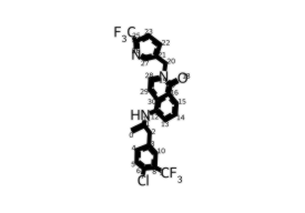 C=C(Cc1ccc(Cl)c(C(F)(F)F)c1)Nc1cccc2c(=O)n(Cc3ccc(C(F)(F)F)nc3)ccc12